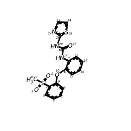 CS(=O)(=O)c1ccccc1Oc1ccccc1NC(=O)Nc1nccs1